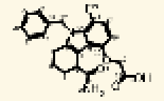 NC(=O)C1CCCc2c1c1c(OCC(=O)O)ccc(F)c1n2Cc1ccccc1